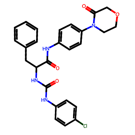 O=C(Nc1ccc(Cl)cc1)NC(Cc1ccccc1)C(=O)Nc1ccc(N2CCOCC2=O)cc1